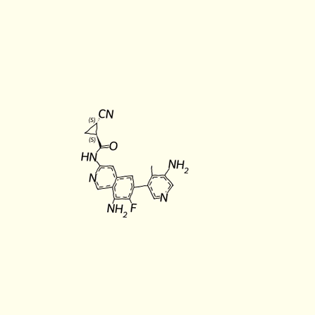 Cc1c(N)cncc1-c1cc2cc(NC(=O)[C@H]3C[C@@H]3C#N)ncc2c(N)c1F